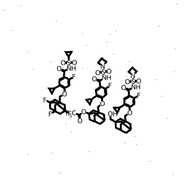 O=C(NS(=O)(=O)C1CC1)c1cc(C2CC2)c(OCC23CC4(F)CC(F)(CC(F)(C4)C2)C3)cc1F.O=C(NS(=O)(=O)N1CCC1)c1cc(C2CC2)c(OCC23CC4CC(C2)CC(OC(=O)C(F)(F)F)(C4)C3)cc1F.O=C(NS(=O)(=O)N1CCC1)c1cc(C2CC2)c(OCC23CC4CC(CC(CO)(C4)C2)C3)cc1F